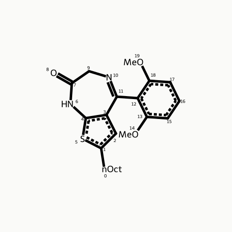 CCCCCCCCc1cc2c(s1)NC(=O)CN=C2c1c(OC)cccc1OC